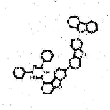 C1=Cc2c(n(-c3ccc4c(c3)oc3ccc(-c5ccc6c7c(oc6c5)=CCCC=7C5NC(c6ccccc6)=NC(c6ccccc6)N5)cc34)c3ccccc23)CC1